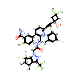 C[C@@H]1c2c(C(F)(F)F)nn(CC(=O)N[C@@H](Cc3cc(F)cc(F)c3)c3nc(C#CC4(O)CC(F)(F)C4)ccc3-c3ccc(F)c(C(N)=O)c3)c2C(F)(F)[C@@H]1C